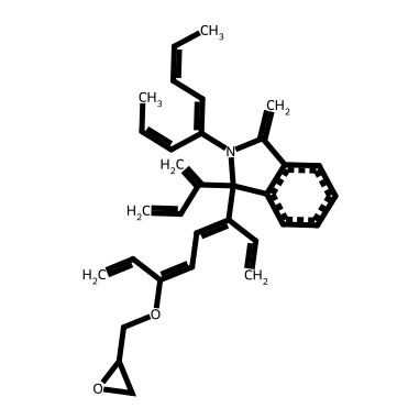 C=CC(=C)C1(/C(C=C)=C/C=C(\C=C)OCC2CO2)c2ccccc2C(=C)N1C(/C=C\C)=C/C=C\C